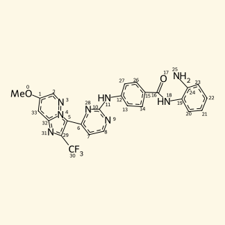 COc1cnn2c(-c3ccnc(Nc4ccc(C(=O)Nc5ccccc5N)cc4)n3)c(C(F)(F)F)nc2c1